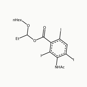 CCCCCCOC(CC)OC(=O)c1c(I)cc(I)c(NC(C)=O)c1I